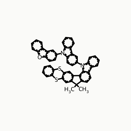 CC1(C)c2cc3c(cc2-c2c1ccc1c4ccccc4n(-c4ccc5c(c4)c4ccccc4n5-c4ccc5oc6ccccc6c5c4)c21)Sc1ccccc1S3